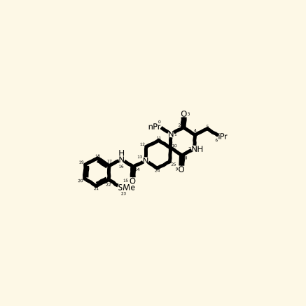 CCCN1C(=O)C(CC(C)C)NC(=O)C12CCN(C(=O)Nc1ccccc1SC)CC2